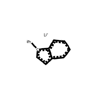 CC(C)[c-]1ccc2ccccc21.[Li+]